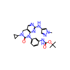 Cn1cc(Nc2ncc3c(n2)N(c2cccc(NC(=O)OC(C)(C)C)c2)C(=O)N(C2CC2)C3)cn1